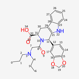 CCCN(CCC)CC(=O)N1[C@H](c2ccc3c(c2)OCO3)c2[nH]c3ccccc3c2C[C@@H]1C(=O)O